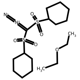 CCOCC.[N-]=[N+]=C(S(=O)(=O)C1CCCCC1)S(=O)(=O)C1CCCCC1